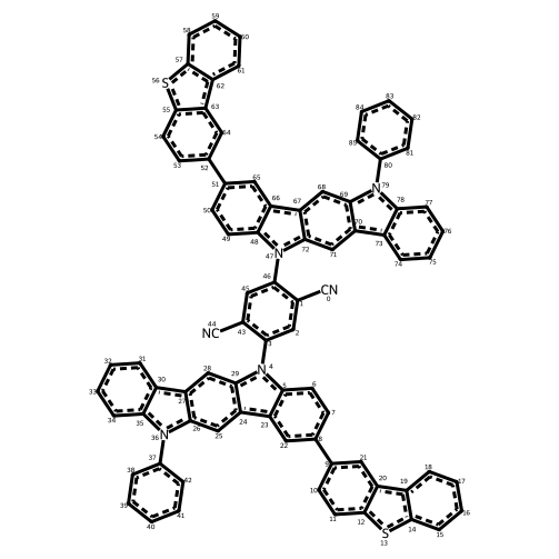 N#Cc1cc(-n2c3ccc(-c4ccc5sc6ccccc6c5c4)cc3c3cc4c(cc32)c2ccccc2n4-c2ccccc2)c(C#N)cc1-n1c2ccc(-c3ccc4sc5ccccc5c4c3)cc2c2cc3c(cc21)c1ccccc1n3-c1ccccc1